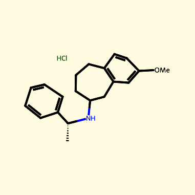 COc1ccc2c(c1)CC(N[C@H](C)c1ccccc1)CCC2.Cl